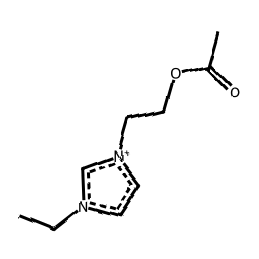 CCn1cc[n+](CCOC(C)=O)c1